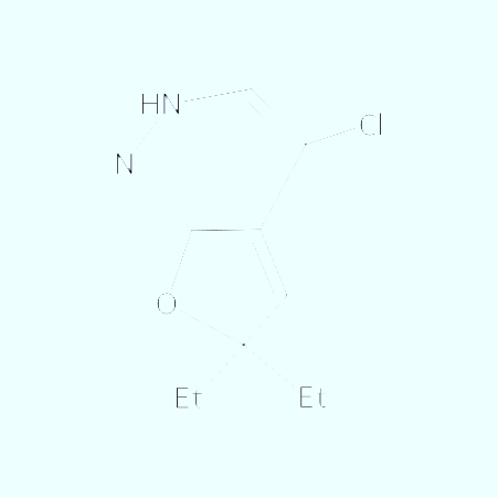 CCC1(CC)C=C2C(Cl)=CNN=C2O1